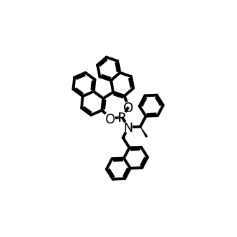 C[C@H](c1ccccc1)N(Cc1cccc2ccccc12)p1oc2ccc3ccccc3c2c2c(ccc3ccccc32)o1